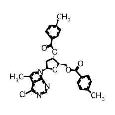 Cc1ccc(C(=O)OC[C@H]2O[C@@H](n3cc(C)c4c(Cl)ncnc43)C[C@@H]2OC(=O)c2ccc(C)cc2)cc1